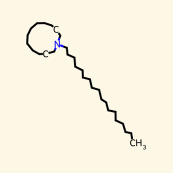 CCCCCCCCCCCCCCCCCCN1CCCCCCCCCCCC1